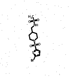 CS(=O)(=O)NCC1CCN(S(=O)(=O)c2ccc(Br)s2)CC1